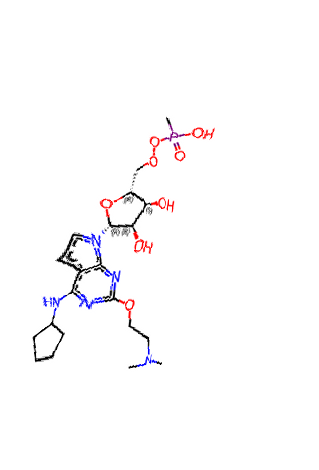 CN(C)CCOc1nc(NC2CCCC2)c2ccn([C@@H]3O[C@H](COOP(C)(=O)O)[C@@H](O)[C@H]3O)c2n1